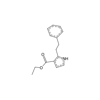 CCOC(=O)c1cc[nH]c1CCc1ccccc1